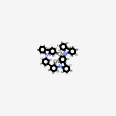 N#Cc1ccc2c3ccccc3n(-c3cccc(-c4cccc(-n5c6ccccc6c6cc(-n7c8ccccc8c8ccccc87)ccc65)c4C#N)c3)c2c1